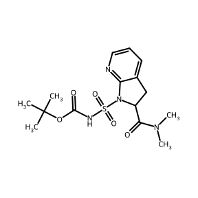 CN(C)C(=O)C1Cc2cccnc2N1S(=O)(=O)NC(=O)OC(C)(C)C